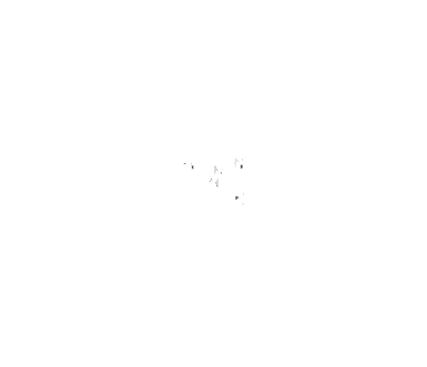 CCCCCCCCC(CCCCCC)COC(=O)CCCCCN(CCCCCC(=O)OCC(CCCCCC)CCCCCCCC)CCN(C)CCCCN(C)C(=O)CCCCCCC